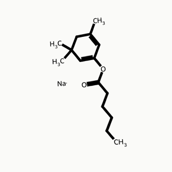 CCCCCC(=O)OC1=CC(C)(C)CC(C)=C1.[Na]